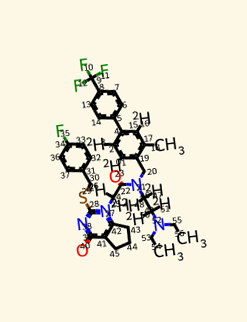 [2H]c1c([2H])c(-c2ccc(C(F)(F)F)cc2)c([2H])c(C)c1CN(C(=O)C([2H])([2H])n1c(SCc2ccc(F)cc2)nc(=O)c2c1CCC2)C([2H])([2H])C([2H])([2H])N(CC)CC